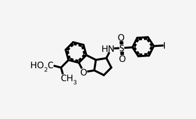 CC(C(=O)O)c1cccc2c1OC1CCC(NS(=O)(=O)c3ccc(I)cc3)C21